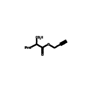 C#CCOC(=O)C(C(=O)O)C(C)CCC